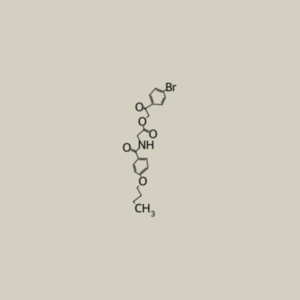 CCCCOc1ccc(C(=O)NCC(=O)OCC(=O)c2ccc(Br)cc2)cc1